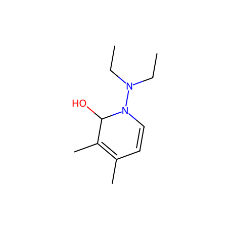 CCN(CC)N1C=CC(C)=C(C)C1O